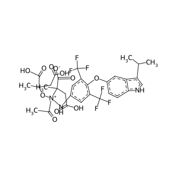 CC(=O)[N+](Nc1cc(C(F)(F)F)c(Oc2ccc3[nH]cc(C(C)C)c3c2)c(C(F)(F)F)c1)(OC(C)(CC(=O)O)C(=O)O)C(C)(CC(=O)O)C(=O)[O-]